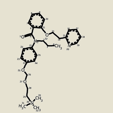 CCCN(C(=O)c1ccccc1OCCc1ccccn1)c1ccc(OCOCC[Si](C)(C)C)cc1